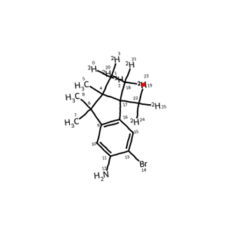 [2H]C([2H])([2H])C1(C)C(C)(C)c2cc(N)c(Br)cc2C1(C([2H])([2H])[2H])C([2H])([2H])[2H]